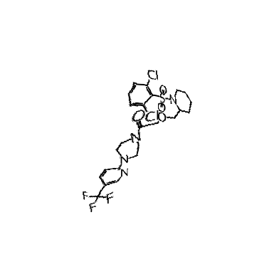 O=C(COCC1CCCCN1S(=O)(=O)c1c(Cl)cccc1Cl)N1CCN(c2ccc(C(F)(F)F)cn2)CC1